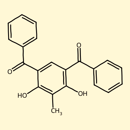 Cc1c(O)c(C(=O)c2ccccc2)cc(C(=O)c2ccccc2)c1O